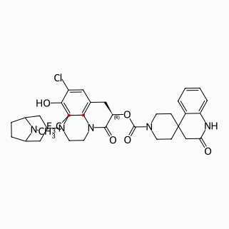 CN1C2CCC1CC(N1CCN(C(=O)[C@@H](Cc3cc(Cl)c(O)c(C(F)(F)F)c3)OC(=O)N3CCC4(CC3)CC(=O)Nc3ccccc34)CC1)C2